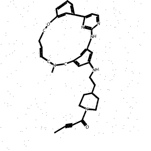 CC#CC(=O)N1CCC(CCNc2cc3cc(c2)Nc2nccc(n2)-c2cccc(c2)OCC/C=C/CN(C)C3)CC1